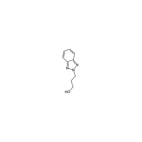 OCCCn1nc2ccccc2n1